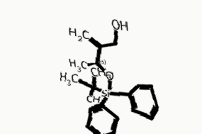 C=C(CO)[C@H](C)O[Si](c1ccccc1)(c1ccccc1)C(C)(C)C